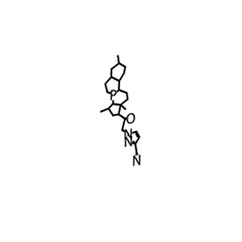 CC1CCC2C(CCP3C2CCC2(C)C(C(=O)Cn4ccc(C#N)n4)CC(C)C32)C1